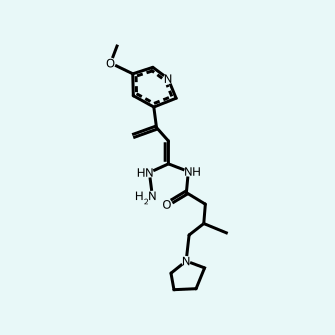 C=C(/C=C(\NN)NC(=O)CC(C)CN1CCCC1)c1cncc(OC)c1